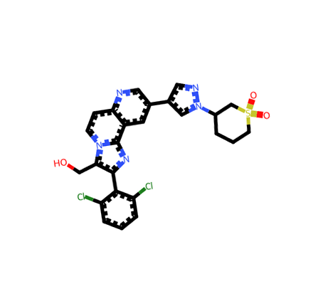 O=S1(=O)CCCC(n2cc(-c3cnc4ccn5c(CO)c(-c6c(Cl)cccc6Cl)nc5c4c3)cn2)C1